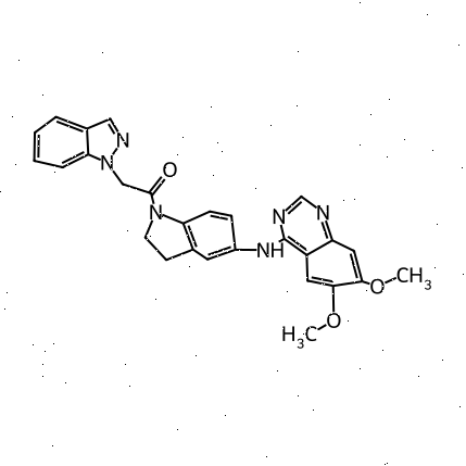 COc1cc2ncnc(Nc3ccc4c(c3)CCN4C(=O)Cn3ncc4ccccc43)c2cc1OC